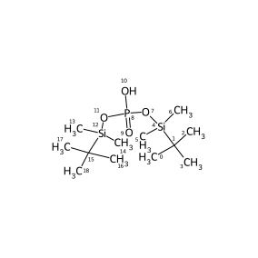 CC(C)(C)[Si](C)(C)OP(=O)(O)O[Si](C)(C)C(C)(C)C